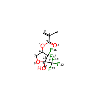 C=C(C)C(=O)OC1COC(O)(C(F)(F)F)C1(F)F